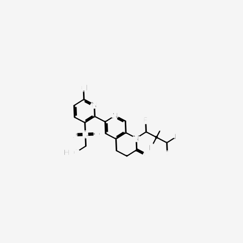 CCS(=O)(=O)c1ccc(Cl)nc1-c1cc2c(cn1)N(C(F)C(F)(F)C(F)F)C(=O)CC2